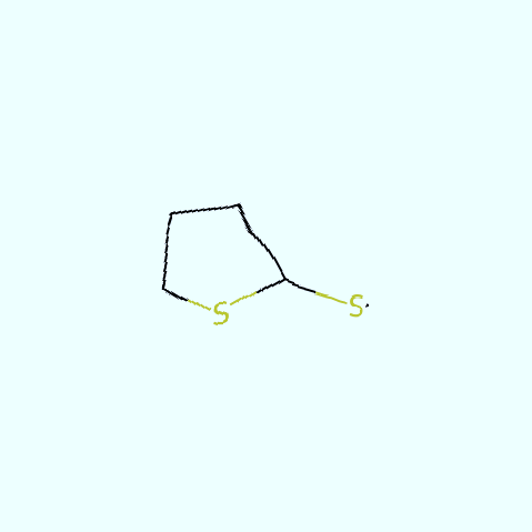 [S]C1CCCS1